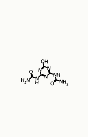 NC(=O)Nc1nc(O)nc(NC(N)=O)n1